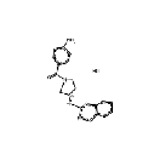 Cl.Nc1ccc(C(=O)N2CC[C@@H](Nc3ncc4ccccc4n3)C2)cc1